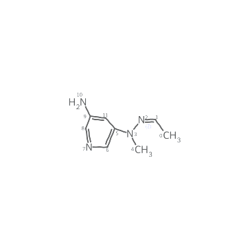 C/C=N\N(C)c1cncc(N)c1